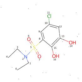 CCN(CC)S(=O)(=O)c1cc(Cl)cc(O)c1O